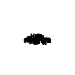 Cc1cnc(-c2ccnc(C3CCOC3)n2)cc1-n1c(C)cc(OCc2ncc(F)cc2F)c(Cl)c1=O